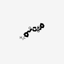 Cc1ccc(/C=C/C(=O)N2CCN(S(=O)(=O)Cc3ccccc3)CC2)cc1